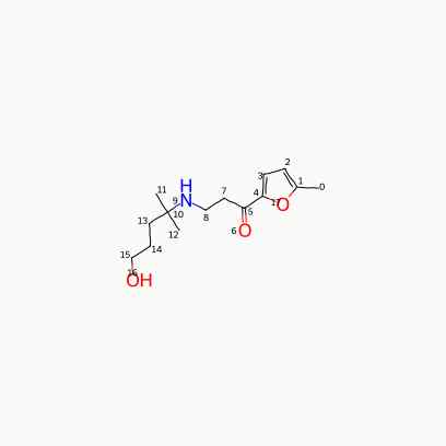 Cc1ccc(C(=O)CCNC(C)(C)CCCO)o1